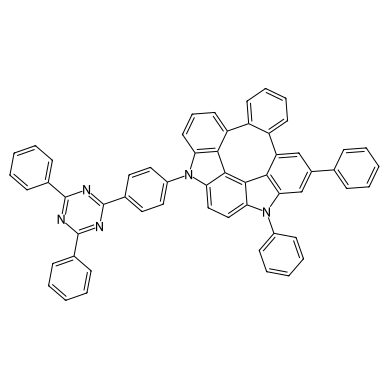 c1ccc(-c2cc3c4ccccc4c4cccc5c4c4c6c3c(c2)n(-c2ccccc2)c6ccc4n5-c2ccc(-c3nc(-c4ccccc4)nc(-c4ccccc4)n3)cc2)cc1